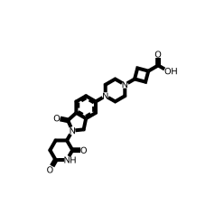 O=C1CCC(N2Cc3cc(N4CCN(C5CC(C(=O)O)C5)CC4)ccc3C2=O)C(=O)N1